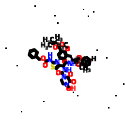 COc1c(C[C@H](NC(=O)C(NC(=O)N2CCN(O)C(=O)C2=O)c2csc(NC(=O)OCc3ccccc3)n2)B2OC3C[C@H]4C[C@@H](C4(C)C)[C@]3(C)O2)cccc1C(=O)OC(C)(C)C